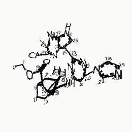 CCOC(=O)[C@@H]1C2CCC(CC2)[C@H]1Nc1cc(-n2ccnc2)nc(-c2c[nH]c3ncc(Cl)nc23)n1